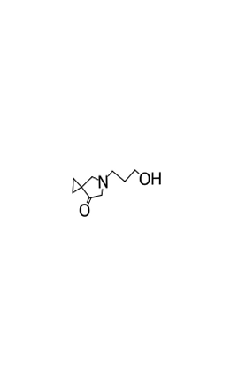 O=C1CN(CCCO)CC12CC2